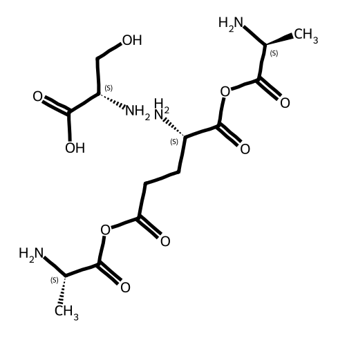 C[C@H](N)C(=O)OC(=O)CC[C@H](N)C(=O)OC(=O)[C@H](C)N.N[C@@H](CO)C(=O)O